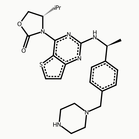 CC(C)[C@H]1COC(=O)N1c1nc(N[C@@H](C)c2ccc(CN3CCNCC3)cc2)nc2ccsc12